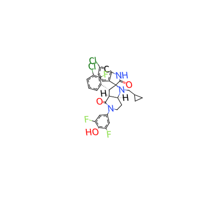 O=C1[C@@H]2[C@H](CCN1c1cc(F)c(O)c(F)c1)N(CC1CC1)[C@@]1(C(=O)Nc3cc(Cl)ccc31)[C@H]2c1cccc(Cl)c1F